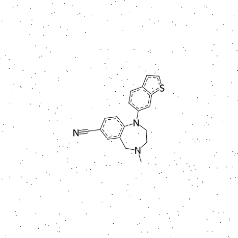 CN1CCN(c2ccc3ccsc3c2)c2ccc(C#N)cc2C1